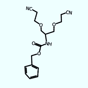 N#CCCOCC(COCCC#N)NC(=O)OCc1ccccc1